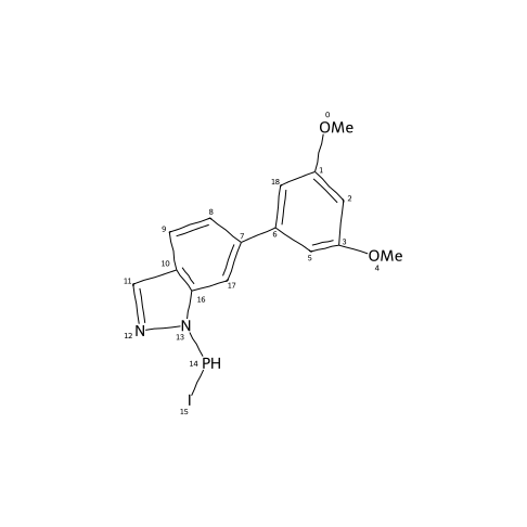 COc1cc(OC)cc(-c2ccc3cnn(PI)c3c2)c1